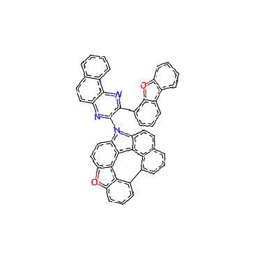 c1ccc2c(c1)ccc1nc(-n3c4ccc5cccc6c5c4c4c5c(ccc43)oc3cccc-6c35)c(-c3cccc4c3oc3ccccc34)nc12